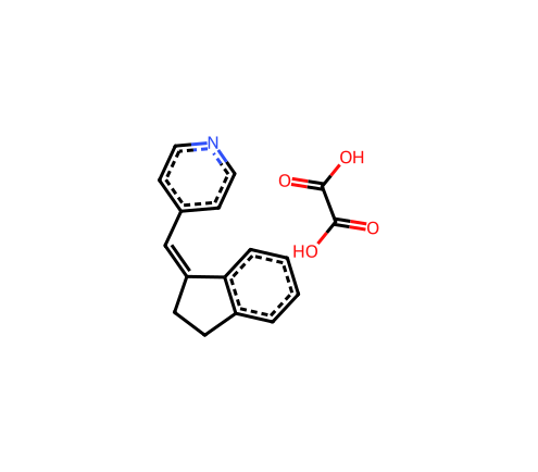 C(=C1\CCc2ccccc21)/c1ccncc1.O=C(O)C(=O)O